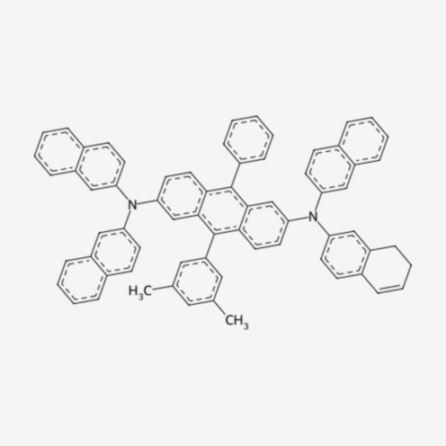 Cc1cc(C)cc(-c2c3ccc(N(c4ccc5c(c4)CCC=C5)c4ccc5ccccc5c4)cc3c(-c3ccccc3)c3ccc(N(c4ccc5ccccc5c4)c4ccc5ccccc5c4)cc23)c1